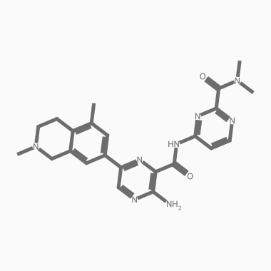 Cc1cc(-c2cnc(N)c(C(=O)Nc3ccnc(C(=O)N(C)C)n3)n2)cc2c1CCN(C)C2